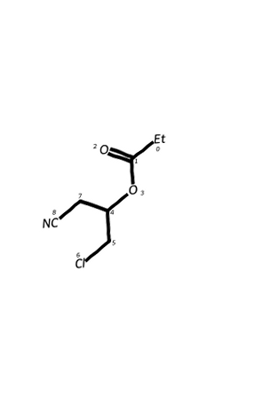 CCC(=O)OC(CCl)CC#N